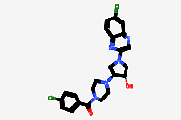 O=C(c1ccc(Cl)cc1)N1CCN([C@H]2CN(c3cnc4cc(Cl)ccc4n3)C[C@@H]2O)CC1